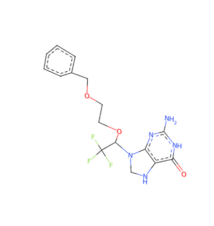 Nc1nc2c(c(=O)[nH]1)NCN2C(OCCOCc1ccccc1)C(F)(F)F